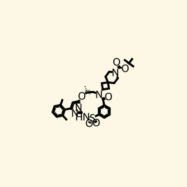 Cc1cccc(C)c1-c1cc2nc(n1)NS(=O)(=O)c1cccc(c1)C(=O)N(C1CC3(CCN(C(=O)OC(C)(C)C)CC3)C1)C[C@@H](C)O2